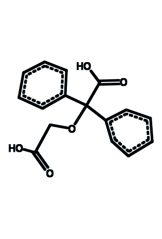 O=C(O)COC(C(=O)O)(c1ccccc1)c1ccccc1